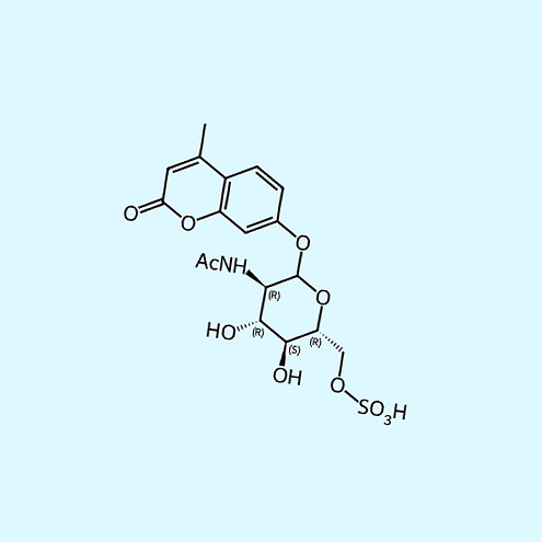 CC(=O)N[C@H]1C(Oc2ccc3c(C)cc(=O)oc3c2)O[C@H](COS(=O)(=O)O)[C@@H](O)[C@@H]1O